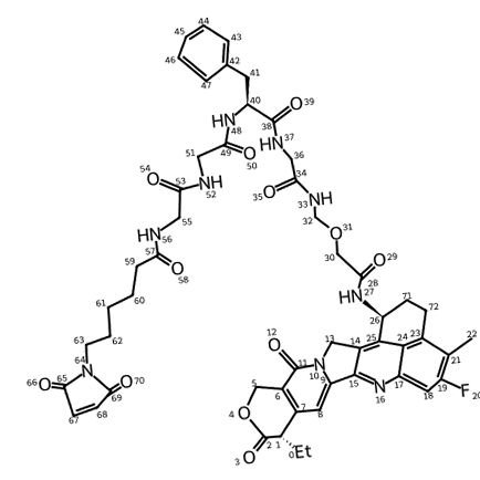 CC[C@@H]1C(=O)OCc2c1cc1n(c2=O)Cc2c-1nc1cc(F)c(C)c3c1c2[C@@H](NC(=O)COCNC(=O)CNC(=O)[C@H](Cc1ccccc1)NC(=O)CNC(=O)CNC(=O)CCCCCN1C(=O)C=CC1=O)CC3